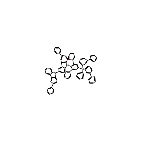 c1ccc(-c2cccc([Si](c3ccccc3)(c3cccc(-c4ccccc4)c3)c3cc(-c4ccccc4)c(-n4c5ccc(-c6ccccc6)cc5c5cc(-n6c7ccccc7c7cc(-c8ccccc8)ccc76)ccc54)c(-c4ccccc4)c3)c2)cc1